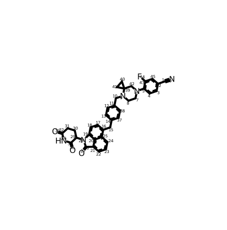 N#Cc1ccc(N2CCN(Cc3ccc(Cc4ccc5c6c(cccc46)C(=O)N5C4CCC(=O)NC4=O)cc3)C3(CC3)C2)c(F)c1